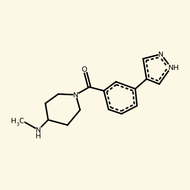 CNC1CCN(C(=O)c2cccc(-c3cn[nH]c3)c2)CC1